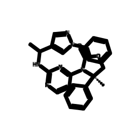 CC(Nc1nccc(N2C(=O)OC[C@@]2(C)c2ccccc2)n1)c1cnn(-c2ccccc2)c1